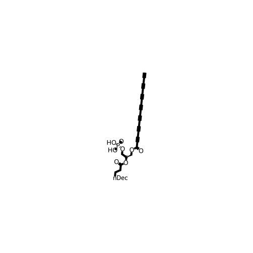 C#CC#CC#CC#CC#CC#CC#CC(=O)OC[C@H](COP(=O)(O)O)OC(=O)CCCCCCCCCCCC